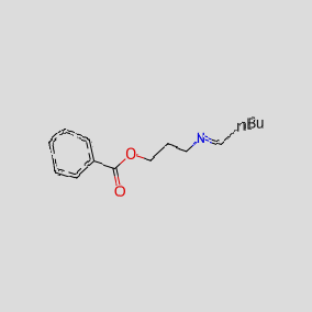 CCCCC=NCCCOC(=O)c1ccccc1